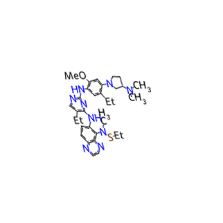 CCSN(C)c1c(Nc2nc(Nc3cc(CC)c(N4CCC(N(C)C)C4)cc3OC)ncc2CC)ccc2nccnc12